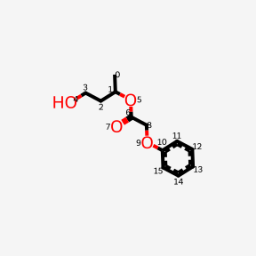 CC(CCO)OC(=O)COc1ccccc1